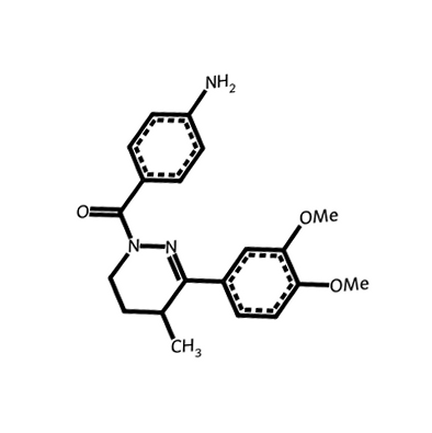 COc1ccc(C2=NN(C(=O)c3ccc(N)cc3)CCC2C)cc1OC